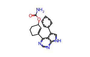 NC(=O)OC1C=C(c2ncnc3[nH]cc(-c4ccccc4)c23)CCC1